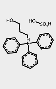 O=S(=O)(O)O.OCCC[PH](c1ccccc1)(c1ccccc1)c1ccccc1